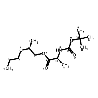 CCCO[C@@H](C)COC(=O)[C@H](C)NC(=O)OC(C)(C)C